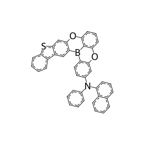 c1ccc(N(c2ccc3c(c2)Oc2cccc4c2B3c2cc3c(cc2O4)sc2ccccc23)c2cccc3ccccc23)cc1